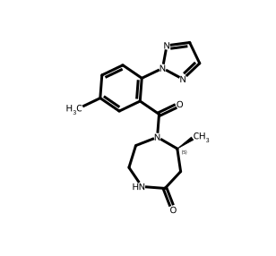 Cc1ccc(-n2nccn2)c(C(=O)N2CCNC(=O)C[C@@H]2C)c1